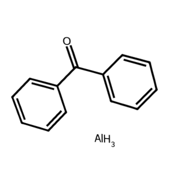 O=C(c1ccccc1)c1ccccc1.[AlH3]